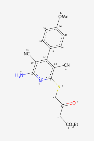 CCOC(=O)CC(=O)CSc1nc(N)c(C#N)c(-c2ccc(OC)cc2)c1C#N